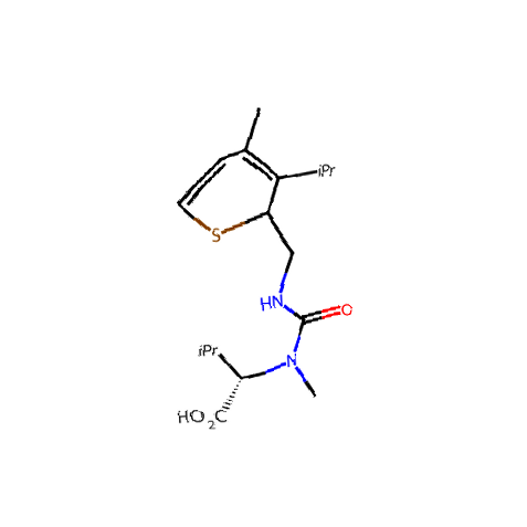 CC1=C(C(C)C)C(CNC(=O)N(C)[C@H](C(=O)O)C(C)C)SC=C1